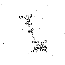 COC(=O)c1ccc(NC(=O)CCCC(=O)NCCCCCCCNC(=O)C[C@@H]2N=C(c3ccc(Cl)cc3)c3c(sc(C)c3C)-n3c(C)nnc32)cc1C#CCN